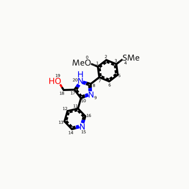 COc1cc(SC)ccc1-c1nc(-c2cccnc2)c(CO)[nH]1